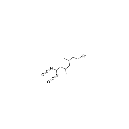 CC(C)CCC(C)CC(C)CC(N=C=O)N=C=O